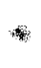 Cc1cc(C(=O)[O-])c(C)c(C)c1C.Cc1cc(C(=O)[O-])c(C)c(C)c1C.[Hg+2]